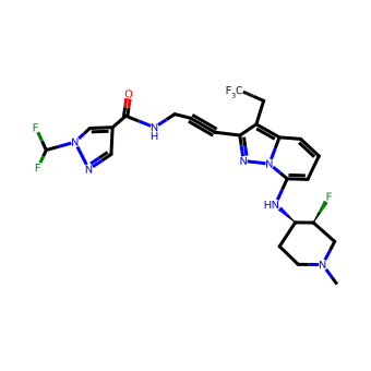 CN1CC[C@@H](Nc2cccc3c(CC(F)(F)F)c(C#CCNC(=O)c4cnn(C(F)F)c4)nn23)[C@@H](F)C1